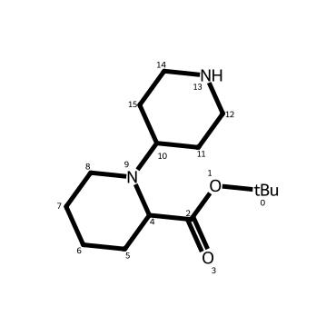 CC(C)(C)OC(=O)C1CCCCN1C1CCNCC1